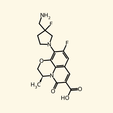 C[C@H]1COc2c(N3CCC(F)(CN)C3)c(F)cc3cc(C(=O)O)c(=O)n1c23